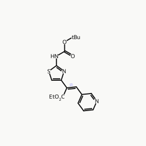 CCOC(=O)/C(=C\c1cccnc1)c1csc(NC(=O)OC(C)(C)C)n1